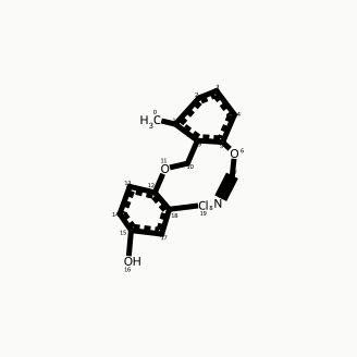 Cc1cccc(OC#N)c1COc1ccc(O)cc1Cl